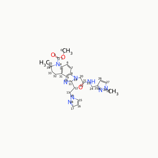 COC(=O)N1c2ccc3c(nc(CCn4cccn4)n3CC(=O)NCc3ccn(C)n3)c2CC[C@@H]1C